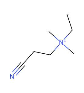 [CH2]C[N+](C)(C)CCC#N